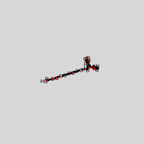 CS(=O)(=O)c1ncc(-c2cc(C(=O)NCCOCCOCCOCCOCCOCCOCCOCCOCCCC(=O)O)cc(-c3cnc(S(C)(=O)=O)nc3)c2)cn1